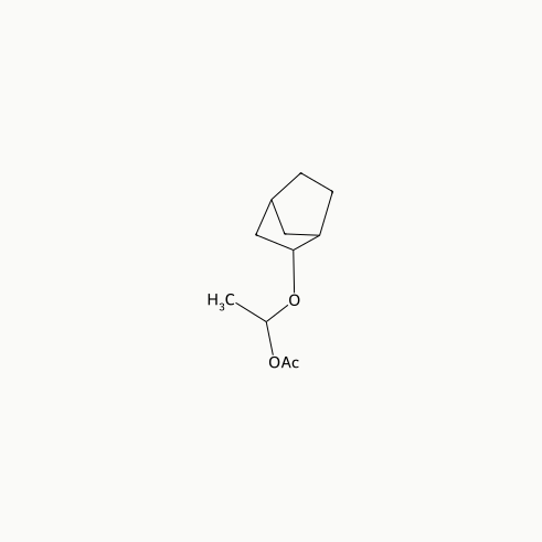 CC(=O)OC(C)OC1CC2CCC1C2